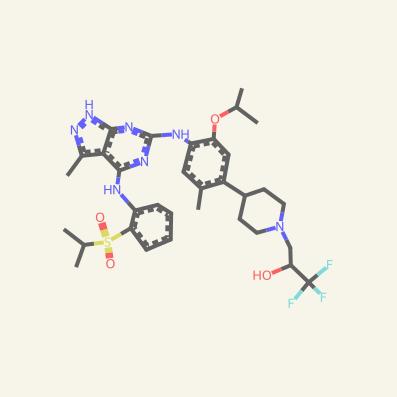 Cc1cc(Nc2nc(Nc3ccccc3S(=O)(=O)C(C)C)c3c(C)n[nH]c3n2)c(OC(C)C)cc1C1CCN(CC(O)C(F)(F)F)CC1